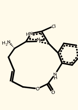 N[C@H]1C/C=C/COC(=O)Nc2ccccc2-c2nc1[nH]c2Cl